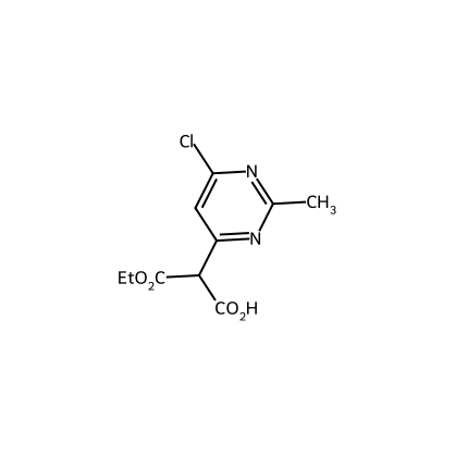 CCOC(=O)C(C(=O)O)c1cc(Cl)nc(C)n1